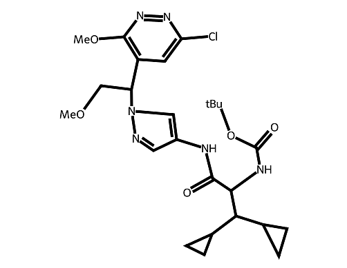 COCC(c1cc(Cl)nnc1OC)n1cc(NC(=O)C(NC(=O)OC(C)(C)C)C(C2CC2)C2CC2)cn1